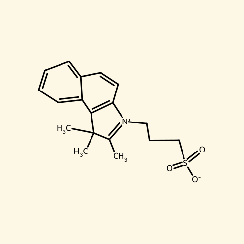 CC1=[N+](CCCS(=O)(=O)[O-])c2ccc3ccccc3c2C1(C)C